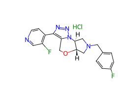 Cl.Fc1ccc(CN2C[C@@H]3OCc4c(-c5ccncc5F)nnn4[C@H]3C2)cc1